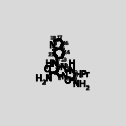 CC(C)[C@@H](Nc1ncc(C(N)=O)c(Nc2ccc3cccnc3c2)n1)C(N)=O